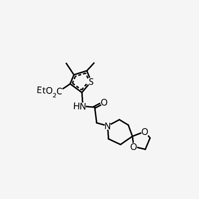 CCOC(=O)c1c(NC(=O)CN2CCC3(CC2)OCCO3)sc(C)c1C